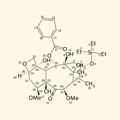 CC[Si](CC)(CC)O[C@H]1C[C@@]2(O)[C@@H](OC(=O)c3ccccc3)C3[C@]4(O)CO[C@@H]4C[C@H](OC)[C@@]3(C)C(=O)[C@H](OC)C(=C1C)C2(C)C